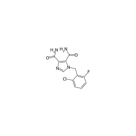 NC(=O)c1ncn(Cc2c(F)cccc2Cl)c1C(N)=O